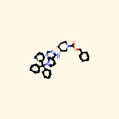 O=C(OCc1ccccc1)N1CC[C@H](F)[C@@H](Nc2ncnc3c2ccn3C(c2ccccc2)(c2ccccc2)c2ccccc2)C1